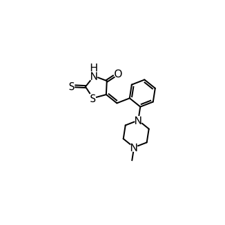 CN1CCN(c2ccccc2/C=C2/SC(=S)NC2=O)CC1